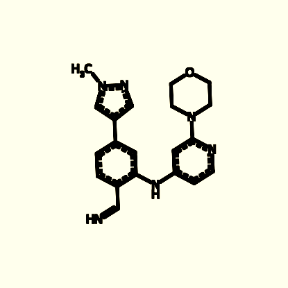 Cn1cc(-c2ccc(C=N)c(Nc3ccnc(N4CCOCC4)c3)c2)cn1